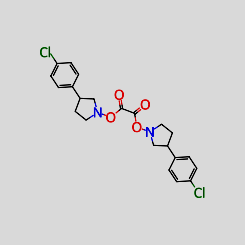 O=C(ON1CCC(c2ccc(Cl)cc2)C1)C(=O)ON1CCC(c2ccc(Cl)cc2)C1